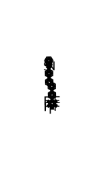 Fc1c(F)c(F)c(-c2ccc(-c3ccc4cc(-c5ccc(-c6nc7ccccc7s6)cc5)ccc4c3)cc2)c(F)c1F